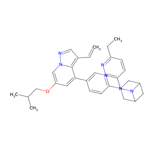 C=Cc1cnn2cc(OCC(C)C)cc(-c3ccc(N4CC5CC(C4)N5Cc4ccc(CC)nc4)nc3)c12